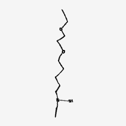 CCOCCOCCCCCN(S)CC